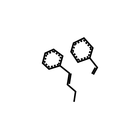 C=Cc1ccccc1.CCC=Cc1ccccc1